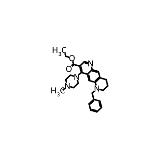 CCOC(=O)c1cnc2cc3c(cc2c1N1CCN(C)CC1)N(Cc1ccccc1)CCC3